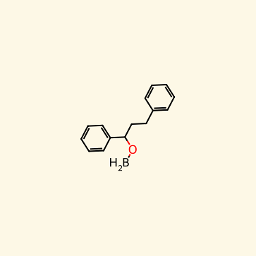 BOC(CCc1ccccc1)c1ccccc1